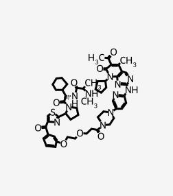 CNC(C)C(=O)N[C@H](C(=O)N1CCCC1c1nc(C(=O)c2cccc(OCCOCCC(=O)N3CCN(c4ccc(Nc5ncc6c(C)c(C(C)=O)c(=O)n(C7CCCC7)c6n5)nc4)CC3)c2)cs1)C1CCCCC1